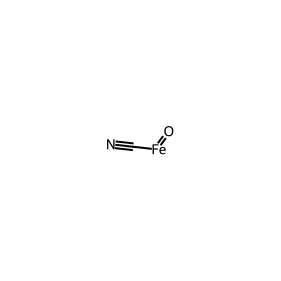 N#[C][Fe]=[O]